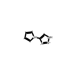 C1=C[SH](c2c[nH]nn2)C=C1